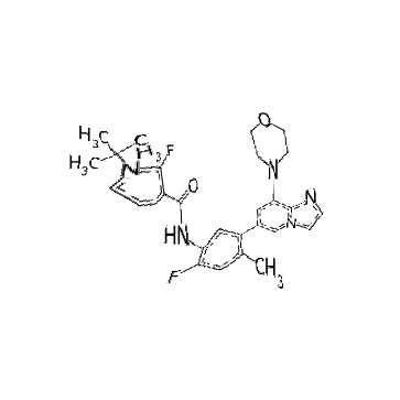 Cc1cc(F)c(NC(=O)c2ccn(C(C)(C)C)c2F)cc1-c1cc(N2CCOCC2)c2nccn2c1